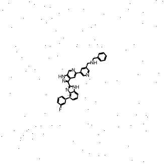 Fc1cccc(-c2cccc3[nH]c(-c4n[nH]c5cnc(-c6cncc(CNCc7ccccc7)c6)cc45)nc23)c1